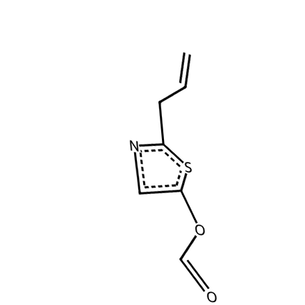 C=CCc1ncc(OC=O)s1